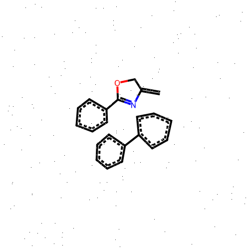 C=C1COC(c2ccccc2)=N1.c1ccc(-c2ccccc2)cc1